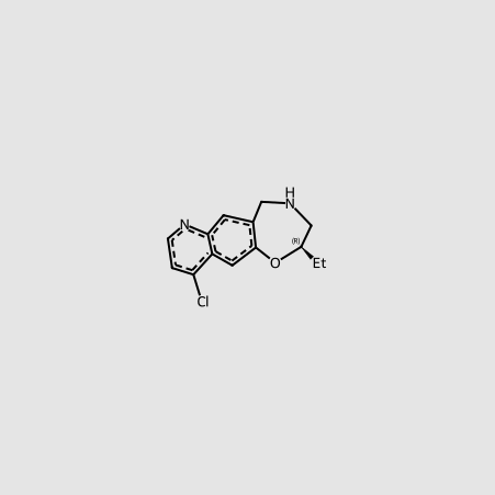 CC[C@@H]1CNCc2cc3nccc(Cl)c3cc2O1